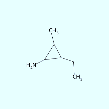 CCC1C(C)C1N